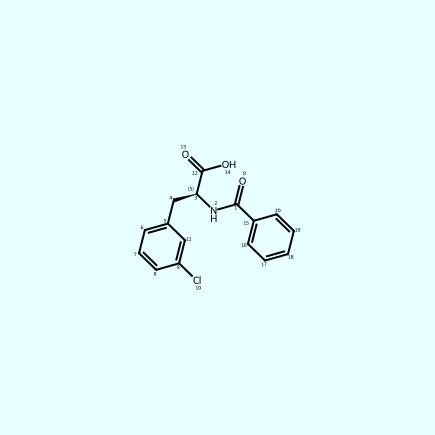 O=C(N[C@@H](Cc1cccc(Cl)c1)C(=O)O)c1ccccc1